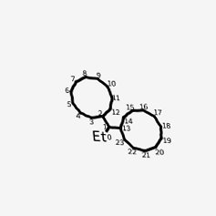 CCC(C1CCCCCCCCCC1)C1CCCCCCCCCC1